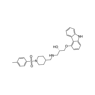 Cc1ccc(S(=O)(=O)N2CCC(CNC[C@H](O)COc3cccc4[nH]c5ccccc5c34)CC2)cc1